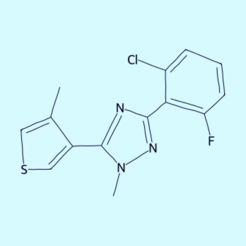 Cc1cscc1-c1nc(-c2c(F)cccc2Cl)nn1C